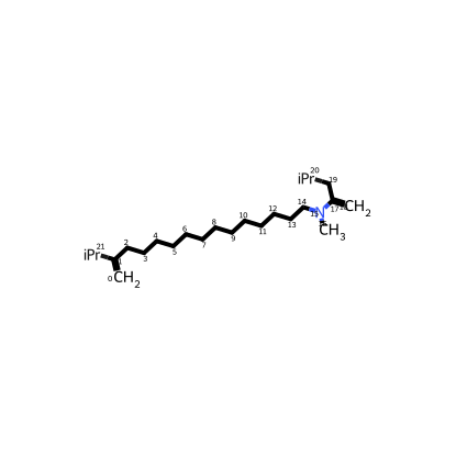 C=C(CCCCCCCCCCCCCN(C)C(=C)CC(C)C)C(C)C